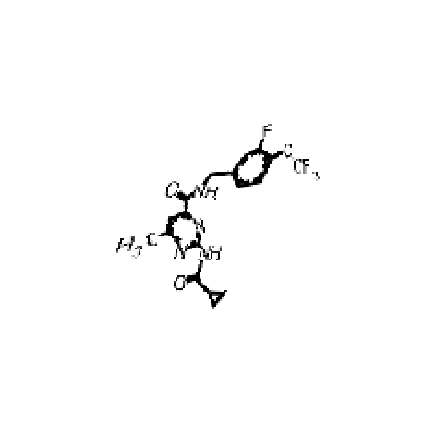 Cc1cc(C(=O)NCc2ccc(OC(F)(F)F)c(F)c2)nc(NC(=O)C2CC2)n1